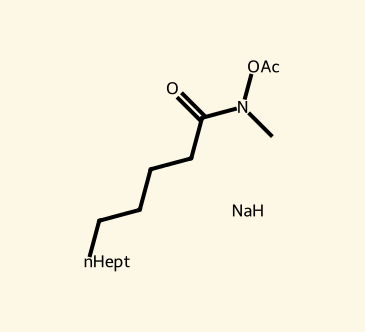 CCCCCCCCCCCC(=O)N(C)OC(C)=O.[NaH]